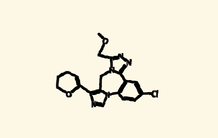 COCc1nnc2n1Cc1c(C3=CCCCO3)ncn1-c1ccc(Cl)cc1-2